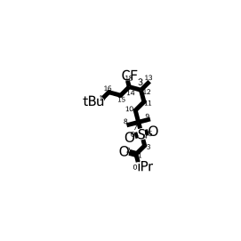 CC(C)C(=O)CS(=O)(=O)C(C)(C)CCC(C)C(CCC(C)(C)C)C(F)(F)F